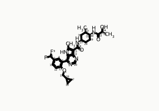 Cc1[nH]c2c(-c3cc(C(F)F)ccc3OCC3CC3)ncnc2c1C(=O)N[C@@H]1CC[C@H](NC(=O)[C@H](C)O)[C@H](C)C1